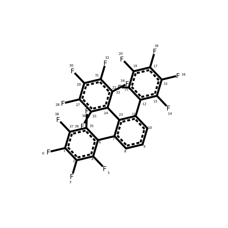 Fc1c(F)c(F)c(-c2cccc(-c3c(F)c(F)c(F)c(F)c3F)c2-c2c(F)c(F)c(F)c(F)c2F)c(F)c1F